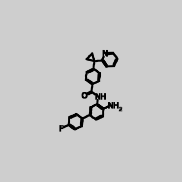 Nc1ccc(-c2ccc(F)cc2)cc1NC(=O)c1ccc(C2(c3ccccn3)CC2)cc1